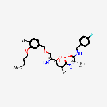 CCc1ccc(COC[C@H](N)[C@@H](O)C[C@H](C(=O)N[C@H](C(=O)NCc2ccc(F)cc2)[C@@H](C)CC)C(C)C)cc1OCCCOC